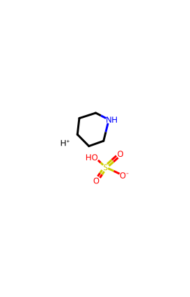 C1CCNCC1.O=S(=O)([O-])O.[H+]